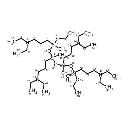 CCO[Si](C)(CCCN(CC)CC)O[Si](C)(CCCN(CC)CC)O[Si](C)(CCCN(CC)CC)O[Si](C)(CCCN(CC)CC)OCC